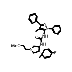 COCCN1C[C@@H](C2(C)C=CC(F)=CC2)[C@H](NC(=O)Nc2c(C)c(-c3ccccc3)nn2-c2ccccc2)C1